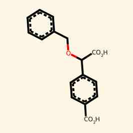 O=C(O)c1ccc(C(OCc2ccccc2)C(=O)O)cc1